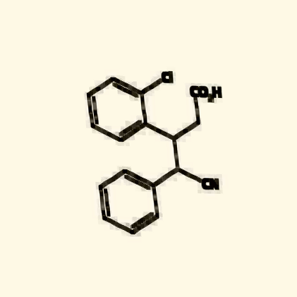 N#CC(c1ccccc1)C(CC(=O)O)c1ccccc1Cl